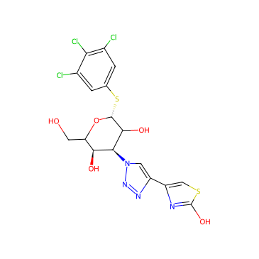 OCC1O[C@H](Sc2cc(Cl)c(Cl)c(Cl)c2)C(O)[C@@H](n2cc(-c3csc(O)n3)nn2)[C@H]1O